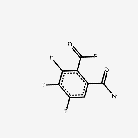 [N]C(=O)c1cc(F)c(F)c(F)c1C(=O)F